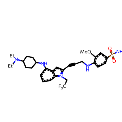 CCN(CC)C1CCC(Nc2cccc3c2cc(C#CCNc2ccc(S(N)(=O)=O)cc2OC)n3CC(F)(F)F)CC1